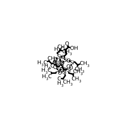 C/C(=C\C[Si]12O[Si]3(CC(C)C)O[Si]4(CC(C)C)O[Si](CC(C)C)(O1)O[Si]1(CC(C)C)O[Si](CC(C)C)(O2)O[Si](CC(C)C)(O3)O[Si](CC(C)C)(O4)O1)C(=O)O